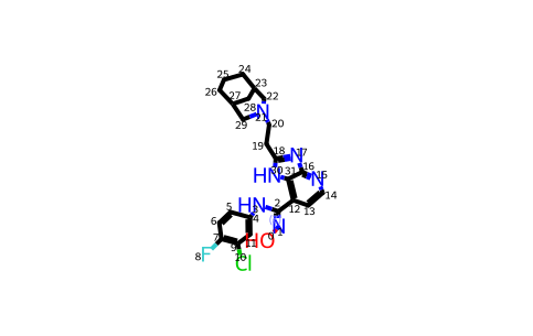 O/N=C(\Nc1ccc(F)c(Cl)c1)c1ccnc2nc(CCN3CC4CCCC(C4)C3)[nH]c12